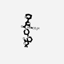 CC1(C)CC2(CCCN(C3CCN(C(=O)c4cc(-c5ccccn5)sc4NC(=O)O)CC3)C2)C(=O)O1